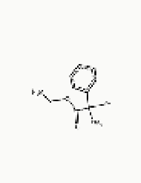 CCC(N)(C(=O)OCN)c1ccccc1